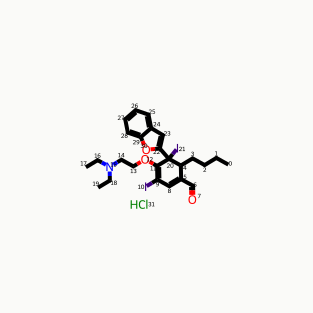 CCCCC1C(C=O)=CC(I)=C(OCCN(CC)CC)C1(I)c1cc2ccccc2o1.Cl